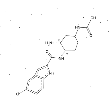 N[C@@H]1CC(NC(=O)O)CC[C@@H]1NC(=O)c1cc2cc(Cl)ccc2[nH]1